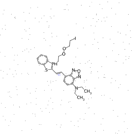 CCN(CC)c1ccc(/C=C/C2=[PH](CCOOCCI)c3ccccc3S2)c2nonc12